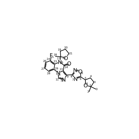 CC1(C)CCC(c2nc(-c3ncn4c3c(=O)n(C3(C)CCCO3)c3c(F)cccc34)no2)O1